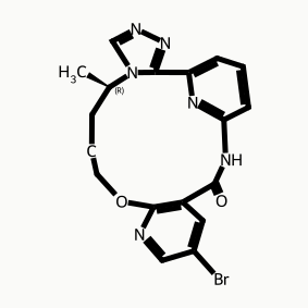 C[C@@H]1CCCOc2ncc(Br)cc2C(=O)Nc2cccc(n2)-c2nncn21